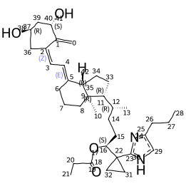 C=C1/C(=C\C=C2/CCC[C@]3(C)[C@@H]([C@H](C)CC[C@H](OC(=O)CC)C4(c5nc(CCC)c[nH]5)CC4)CC[C@@H]23)C[C@@H](O)C[C@@H]1O